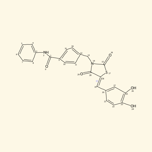 O=C(Nc1ccccc1)c1ccc(CN2C(=O)S/C(=C\c3ccc(O)c(O)c3)C2=O)cc1